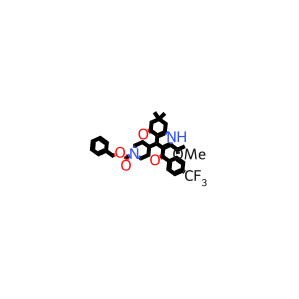 COC(C)C1=C(C(=O)c2ccc(C(F)(F)F)cc2)C(C2CCN(C(=O)OCc3ccccc3)CC2)C2=C(CC(C)(C)CC2=O)N1